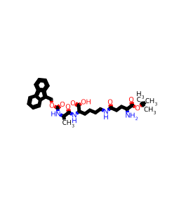 CC(NC(=O)OCC1=c2ccccc2=C2C=CC=CC21)C(=O)NC(CCCCNC(=O)CCC(N)C(=O)OC(C)(C)C)C(=O)O